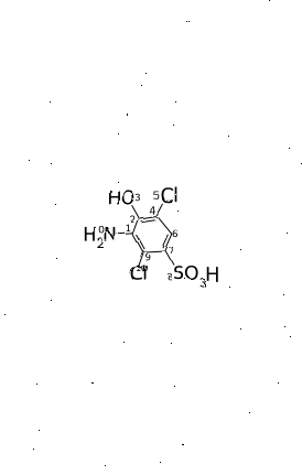 Nc1c(O)c(Cl)cc(S(=O)(=O)O)c1Cl